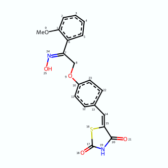 COc1ccccc1C(COc1ccc(/C=C2\SC(=O)NC2=O)cc1)=NO